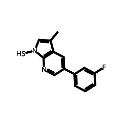 Cc1cn(S)c2ncc(-c3cccc(F)c3)cc12